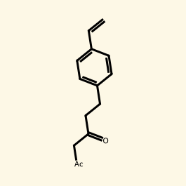 C=Cc1ccc(CCC(=O)CC(C)=O)cc1